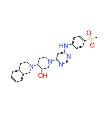 CS(=O)(=O)c1ccc(Nc2cc(N3CCC(N4CCc5ccccc5C4)C(O)C3)ncn2)cc1